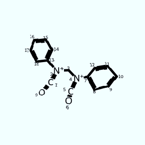 O=C=[N+](C[N+](=C=O)c1ccccc1)c1ccccc1